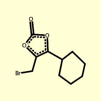 O=c1oc(CBr)c(C2CCCCC2)o1